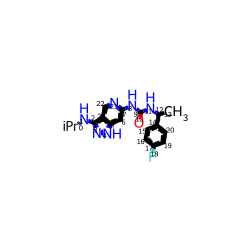 CC(C)Nc1n[nH]c2cc(NC(=O)NC(C)c3ccc(F)cc3)ncc12